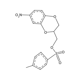 Cc1ccc(S(=O)(=O)OCC2COc3ccc([N+](=O)[O-])cc3O2)cc1